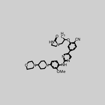 COc1cc(N2CCC(N3CCOCC3)CC2)ccc1Nc1ncc(-c2ccc(C#N)c(OC(C)CN3CCNC3=O)c2)cn1